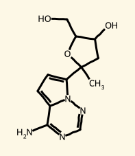 CC1(c2ccc3c(N)ncnn23)CC(O)C(CO)O1